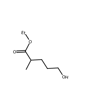 CCOC(=O)C(C)CCCO